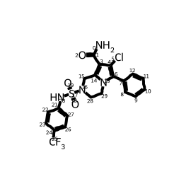 NC(=O)c1c(Cl)c(-c2ccccc2)n2c1CN(S(=O)(=O)Nc1ccc(C(F)(F)F)cc1)CC2